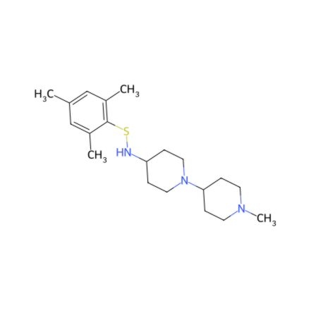 Cc1cc(C)c(SNC2CCN(C3CCN(C)CC3)CC2)c(C)c1